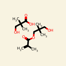 C=C(C)C(=O)OCC(C)(C)CO.CC(C)(CO)C(=O)O